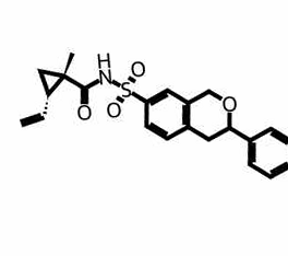 C=C[C@@H]1C[C@]1(C)C(=O)NS(=O)(=O)c1ccc2c(c1)COC(c1ccccc1)C2